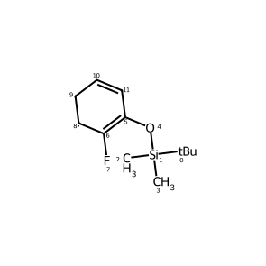 CC(C)(C)[Si](C)(C)OC1=C(F)[CH]CC=C1